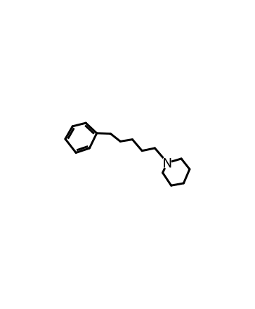 c1ccc(CCCCCN2CCCCC2)cc1